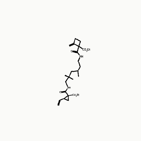 C=CC1CC1(C(=O)NCC(C)(C)CC(C)CCNC(=O)C1(C(=O)OCC)CCC1=C)C(=O)OCC